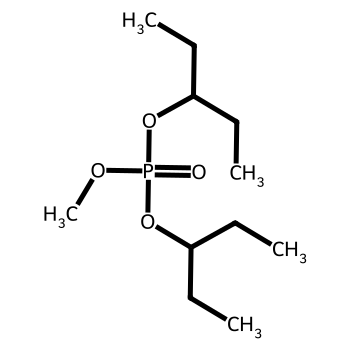 CCC(CC)OP(=O)(OC)OC(CC)CC